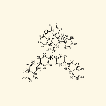 c1ccc2c(c1)Oc1ccccc1C21c2ccc(N(c3ccc(-c4ccc5ccccc5c4)cc3)c3ccc(-c4ccc5ccccc5c4)cc3)cc2-c2c1ccc1ccccc21